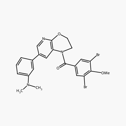 COc1c(Br)cc(C(=O)N2CCOc3ncc(-c4cccc(N(C)C)c4)cc32)cc1Br